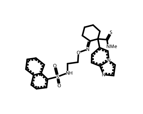 CNC(=S)C1(c2ccc3nccn3c2)CCCCC1=NOCCNS(=O)(=O)c1cccc2ccccc12